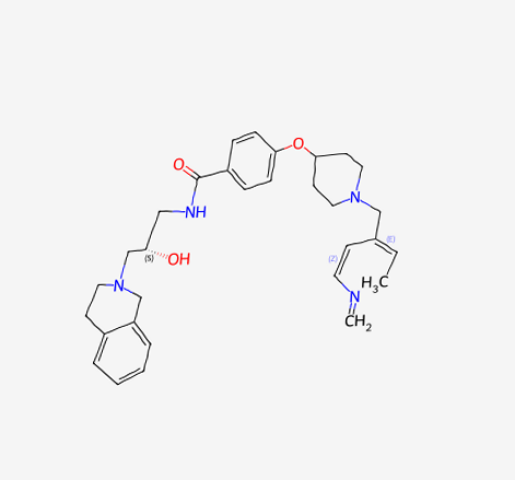 C=N/C=C\C(=C/C)CN1CCC(Oc2ccc(C(=O)NC[C@H](O)CN3CCc4ccccc4C3)cc2)CC1